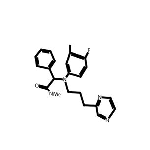 CNC(=O)C(c1ccccc1)N(CCCc1cnccn1)c1ccc(F)c(C)c1